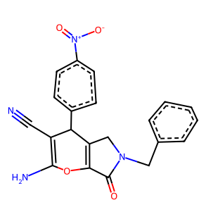 N#CC1=C(N)OC2=C(CN(Cc3ccccc3)C2=O)C1c1ccc([N+](=O)[O-])cc1